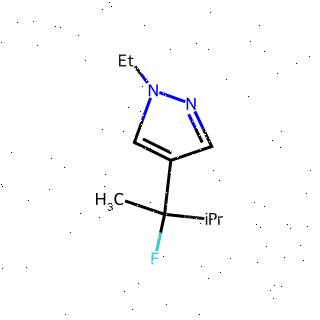 CCn1cc(C(C)(F)C(C)C)cn1